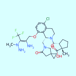 CN(N)/C(=C(\N)COc1ccc(Cl)c2c1[C@@H](CN1CC3(CC3)CC1=O)N(C(=O)[C@@H]1CCC[C@]1(C)C(=O)O)CC2)C(F)(F)F